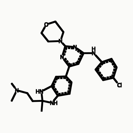 CN(C)CCC1(C)Nc2ccc(-c3cc(Nc4ccc(Cl)cc4)nc(N4CCOCC4)n3)cc2N1